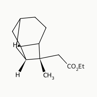 CCOC(=O)C[C@@]1(C)C2CCC3C[C@H]2[C@H]1C3